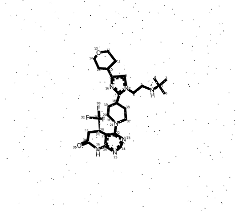 CC(C)(C)NCCn1cc(C2CCOCC2)nc1C1CCN(c2ncnc3c2[C@H](C(F)(F)F)CC(=O)N3)CC1